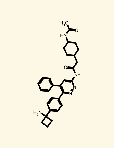 CC(=O)NC1CCC(CC(=O)Nc2cc(-c3ccccc3)c(-c3ccc(C4(N)CCC4)cc3)nn2)CC1